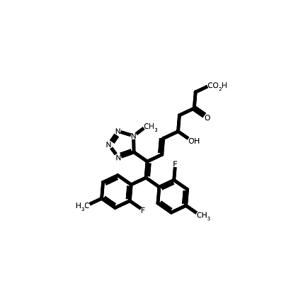 Cc1ccc(C(=C(C=CC(O)CC(=O)CC(=O)O)c2nnnn2C)c2ccc(C)cc2F)c(F)c1